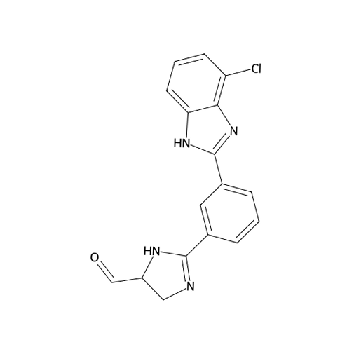 O=CC1CN=C(c2cccc(-c3nc4c(Cl)cccc4[nH]3)c2)N1